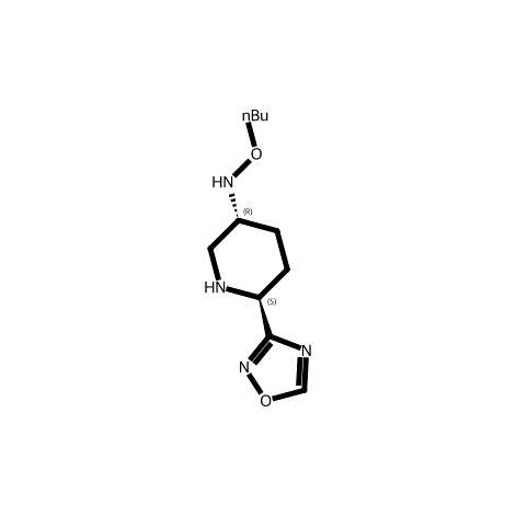 CCCCON[C@@H]1CC[C@@H](c2ncon2)NC1